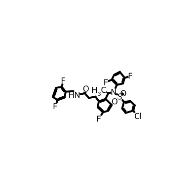 C[C@H](c1ccc(F)cc1CCC(=O)NCc1cc(F)ccc1F)N(c1cc(F)ccc1F)S(=O)(=O)c1ccc(Cl)cc1